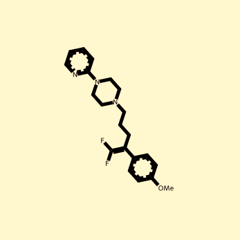 COc1ccc(C(CCCN2CCN(c3ccccn3)CC2)=C(F)F)cc1